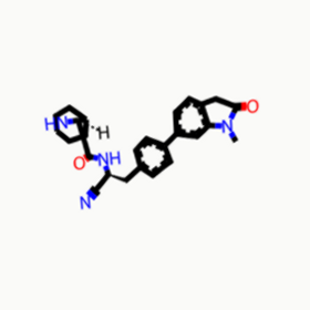 CN1C(=O)Cc2ccc(-c3ccc(C[C@@H](C#N)NC(=O)[C@H]4NC5CCC4CC5)cc3)cc21